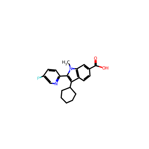 Cn1c(-c2ccc(F)cn2)c(C2CCCCC2)c2ccc(C(=O)O)cc21